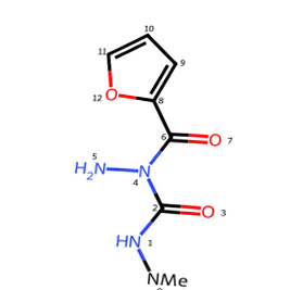 CNNC(=O)N(N)C(=O)c1ccco1